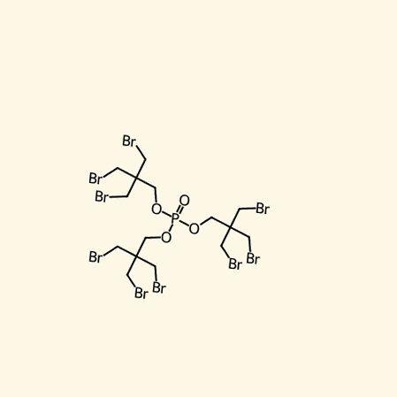 O=P(OCC(CBr)(CBr)CBr)(OCC(CBr)(CBr)CBr)OCC(CBr)(CBr)CBr